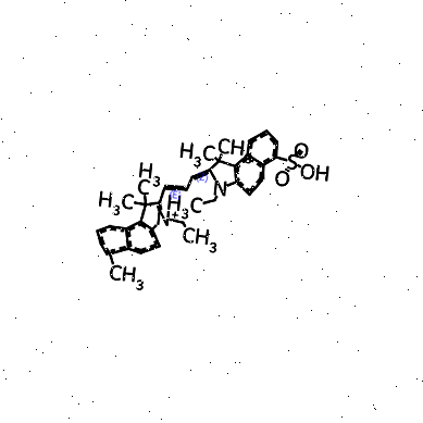 CCN1/C(=C\C=C\C2=[N+](CC)c3ccc4c(C)cccc4c3C2(C)C)C(C)(C)c2c1ccc1c(S(=O)(=O)O)cccc21